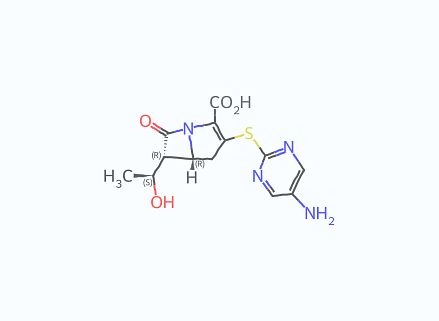 C[C@H](O)[C@@H]1C(=O)N2C(C(=O)O)=C(Sc3ncc(N)cn3)C[C@H]12